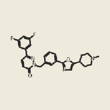 CN1CCC(c2cnc(-c3cccc(Cn4nc(-c5cc(F)cc(F)c5)ccc4=O)c3)o2)CC1